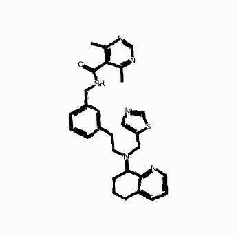 Cc1ncnc(C)c1C(=O)NCc1cccc(CCN(Cc2cncs2)C2CCCc3cccnc32)c1